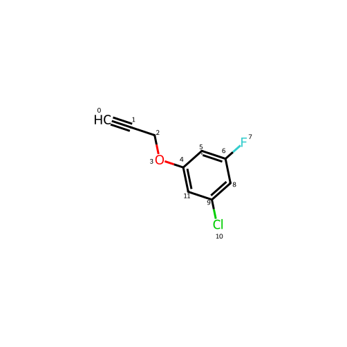 C#CCOc1[c]c(F)cc(Cl)c1